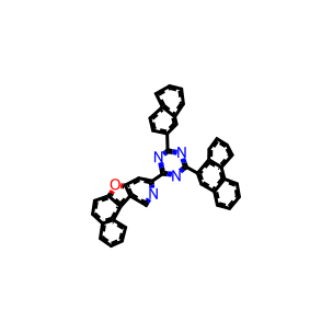 c1ccc2cc(-c3nc(-c4cc5oc6ccc7ccccc7c6c5cn4)nc(-c4cc5ccccc5c5ccccc45)n3)ccc2c1